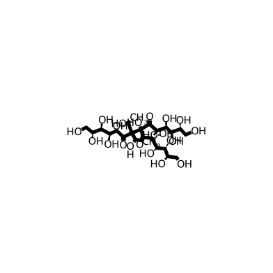 CC(O)C(C(=O)[C@H](O)[C@@H](O)[C@H](O)[C@H](O)CO)(C(C)O)C(O)(C(=O)[C@H](O)[C@@H](O)[C@H](O)[C@H](O)CO)C(=O)[C@H](O)[C@@H](O)[C@H](O)[C@H](O)CO